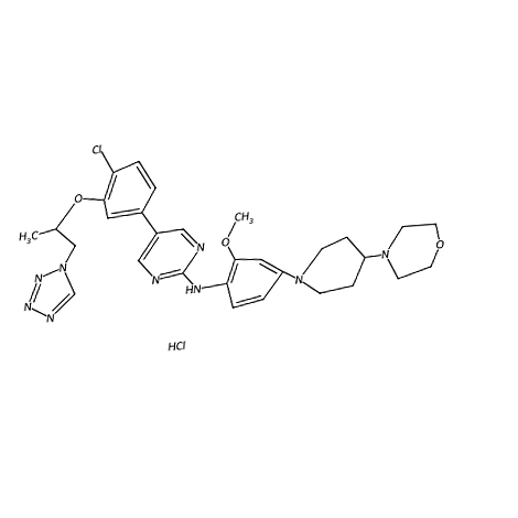 COc1cc(N2CCC(N3CCOCC3)CC2)ccc1Nc1ncc(-c2ccc(Cl)c(OC(C)Cn3cnnn3)c2)cn1.Cl